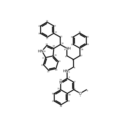 COc1cc(NCC(CNC(Cc2ccccc2)c2c[nH]c3ccccc23)Cc2ccccc2)nc2ccccc12